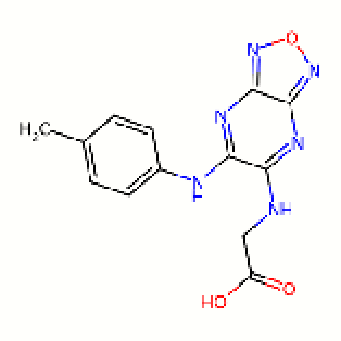 Cc1ccc(Nc2nc3nonc3nc2NCC(=O)O)cc1